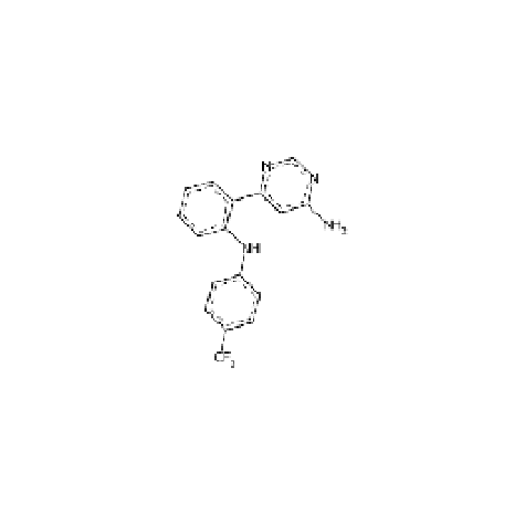 Nc1cc(-c2ccccc2Nc2ccc(C(F)(F)F)cc2)ncn1